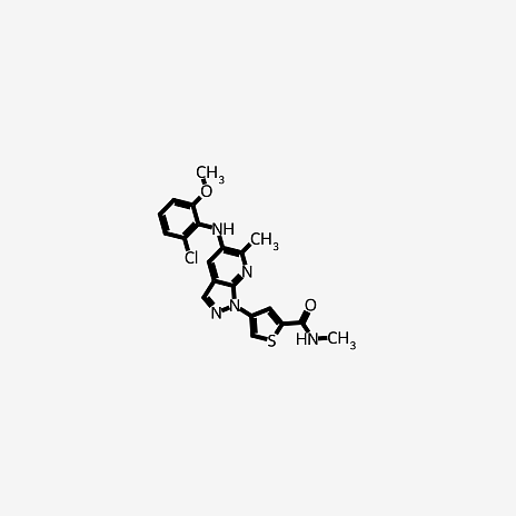 CNC(=O)c1cc(-n2ncc3cc(Nc4c(Cl)cccc4OC)c(C)nc32)cs1